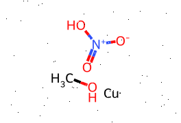 CO.O=[N+]([O-])O.[Cu]